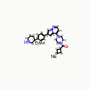 CO[C@@]1(c2ccc(-c3cc4c(N5CCN(C(=O)C6CC(C#N)C6)CC5)ccnn4c3)cc2)CCCNC1